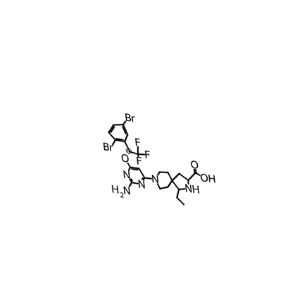 CCC1NC(C(=O)O)CC12CCN(c1cc(O[C@H](c3cc(Br)ccc3Br)C(F)(F)F)nc(N)n1)CC2